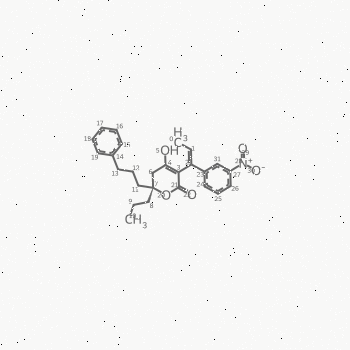 C/C=C(\C1=C(O)C[C@@](CCC)(CCCc2ccccc2)OC1=O)c1cccc([N+](=O)[O-])c1